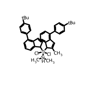 CC1=Cc2c(-c3ccc(C(C)(C)C)cc3)cccc2[CH]1[Ti]([Cl])([Cl])([CH]1C=Cc2c(-c3ccc(C(C)(C)C)cc3)cccc21)[SiH](C)C